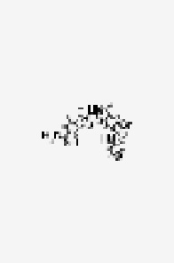 CC(NC(=O)CC(=O)Nc1ccc(C(=N)N)cc1)c1ccc(C(=O)NC2CCOCC2)c(Br)c1